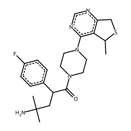 CC1SCc2ncnc(N3CCN(C(=O)C(CC(C)(C)N)c4ccc(F)cc4)CC3)c21